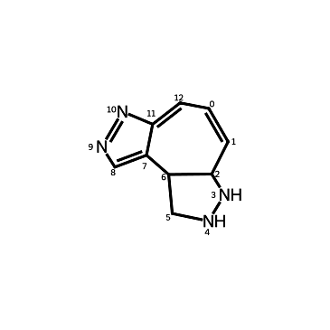 C1=CC2NNCC2C2=CN=NC2=C1